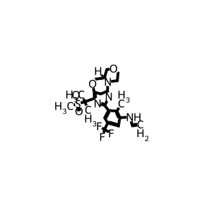 C=CNc1cc(C(F)(F)F)cc(C2=NC(C(C)(C)S(C)(=O)=O)=C3CC(=N2)N2CCOC[C@H]2CO3)c1C